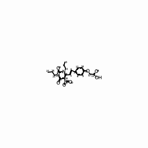 CCCn1c(/C=C/c2ccc(OCC(=O)O)cc2)c([N+](=O)[O-])c(=O)n(CCC)c1=O